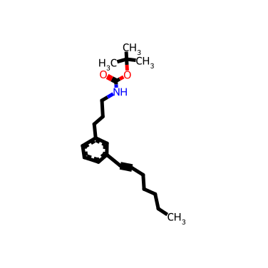 CCCCCC#Cc1cccc(CCCNC(=O)OC(C)(C)C)c1